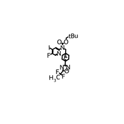 CC(C)(C)COC(=O)N(CC12CCC(c3noc(C(C)(F)F)n3)(CC1)CC2)c1cc(I)c(F)cn1